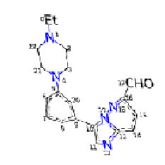 CCN1CCN(c2cccc(-c3cnc4ccc(C=O)nn34)c2)CC1